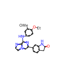 CCOc1ccc(Nc2nc(-c3ccc4c(c3)NC(=O)C4)cn3ccnc23)cc1OC